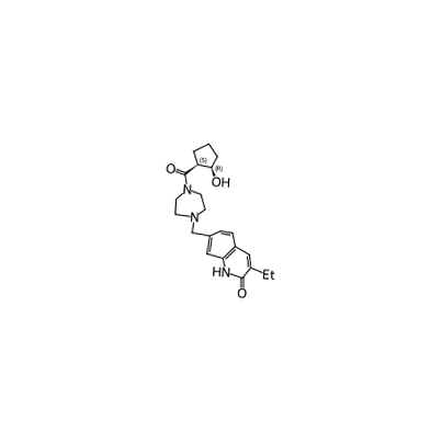 CCc1cc2ccc(CN3CCN(C(=O)[C@H]4CCC[C@H]4O)CC3)cc2[nH]c1=O